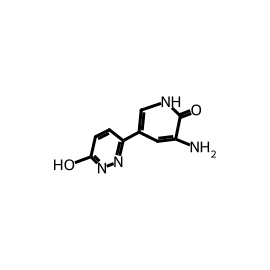 Nc1cc(-c2ccc(O)nn2)c[nH]c1=O